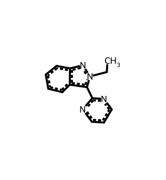 CCn1nc2ccccc2c1-c1ncccn1